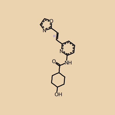 O=C(Nc1cccc(/C=C/c2ncco2)n1)C1CCC(O)CC1